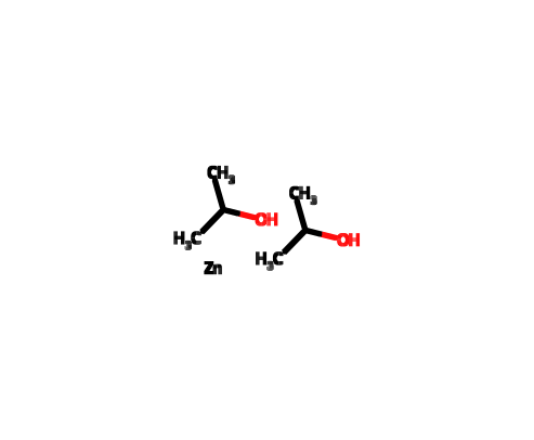 CC(C)O.CC(C)O.[Zn]